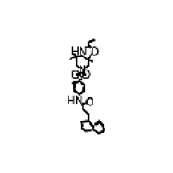 C=CC(=O)NC1C(C)(C)CN(S(=O)(=O)c2ccc(NC(=O)CCc3cccc4ccccc34)cc2)CC1(C)C